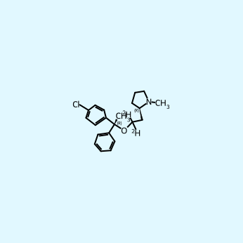 [2H]C([2H])(C[C@H]1CCCN1C)O[C@](C)(c1ccccc1)c1ccc(Cl)cc1